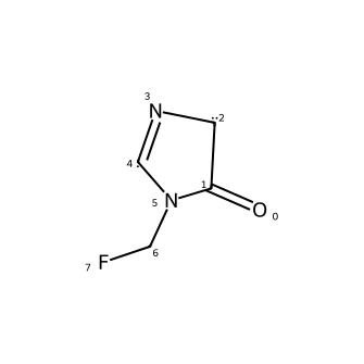 O=C1[C]N=[C]N1CF